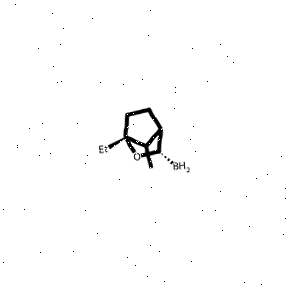 B[C@@H]1O[C@]2(CC)CCC1C2C